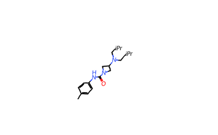 Cc1ccc(NC(=O)N2CC(N(CC(C)C)CC(C)C)C2)cc1